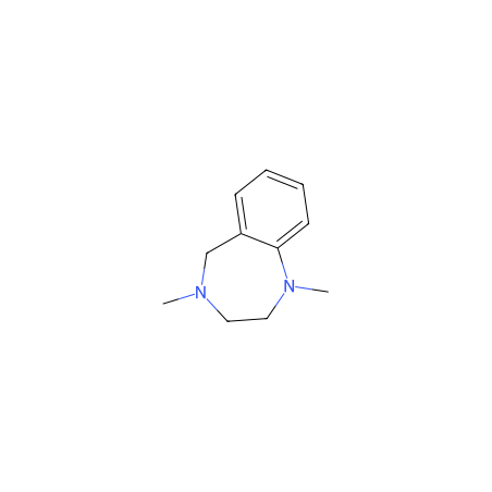 CN1CCN(C)c2ccccc2C1